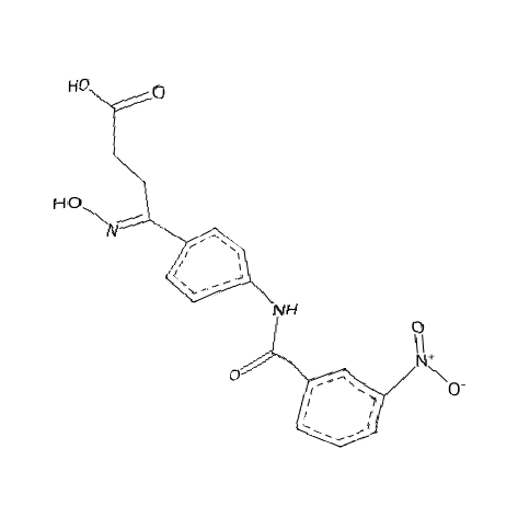 O=C(O)CCC(=NO)c1ccc(NC(=O)c2cccc([N+](=O)[O-])c2)cc1